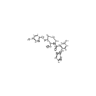 CCCC1[C@@H](COc2ccc(F)cn2)CCCN1C(=O)c1cc(F)ccc1-n1nccn1